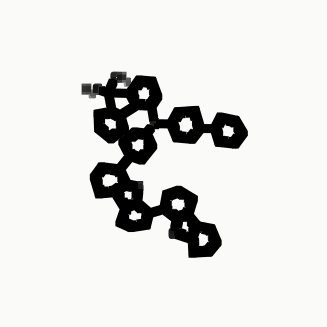 CC1(C)c2ccccc2-c2c(N(c3ccc(-c4ccccc4)cc3)c3ccc(-c4cccc5c4sc4c(-c6cccc7c6oc6ccccc67)cccc45)cc3)cccc21